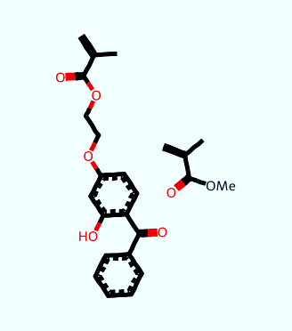 C=C(C)C(=O)OC.C=C(C)C(=O)OCCOc1ccc(C(=O)c2ccccc2)c(O)c1